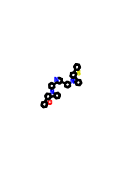 c1cc(-c2cc(-c3cccc(-n4c5ccccc5c5c6sc7ccccc7c6ccc54)c3)ccn2)cc(-n2c3ccccc3c3c4oc5ccccc5c4ccc32)c1